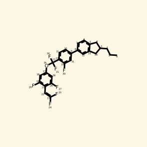 CCCC1Cc2ccc(-c3ccc(C(F)(F)Oc4cc(F)c(C=C(F)F)c(F)c4)c(F)c3)cc2C1